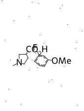 COc1ccc([C@@H]2CN(C)C[C@H]2C(=O)O)c(F)c1